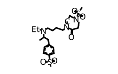 CCN(CCCCN1CCN(S(C)(=O)=O)CCC1=O)C(C)Cc1ccc(S(C)(=O)=O)cc1